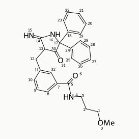 COCCCNC(=O)c1cccc(CC2C(=N)NC(c3ccccc3)(c3ccccc3)C2=O)c1